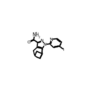 NC(=O)c1nn(-c2cc(I)ccn2)c2c1CC1CC2C1